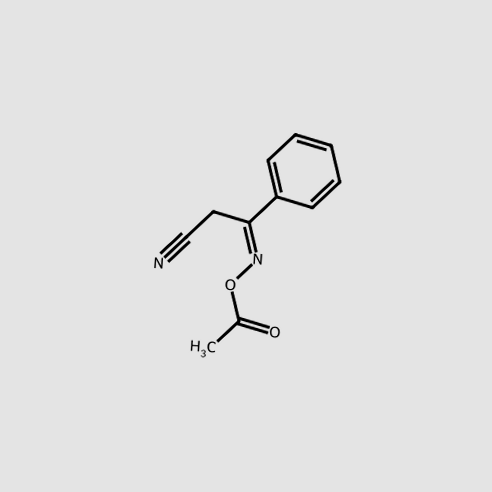 CC(=O)ON=C(CC#N)c1ccccc1